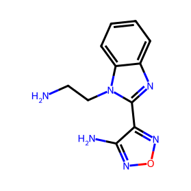 NCCn1c(-c2nonc2N)nc2ccccc21